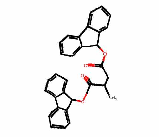 CC(CC(=O)OC1c2ccccc2-c2ccccc21)C(=O)OC1c2ccccc2-c2ccccc21